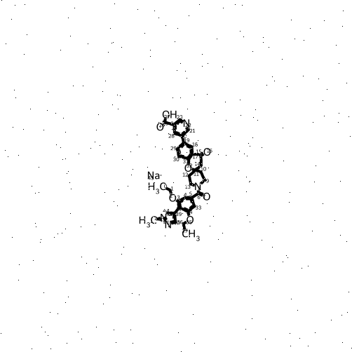 CCOc1cc(C(=O)N2CCC3(CC2)CC(=O)c2cc(-c4cncc(C(=O)O)c4)ccc2O3)cc(OCC)c1-c1cnn(C)c1.[Na]